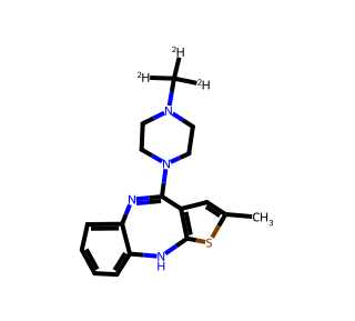 [2H]C([2H])([2H])N1CCN(C2=Nc3ccccc3Nc3sc(C)cc32)CC1